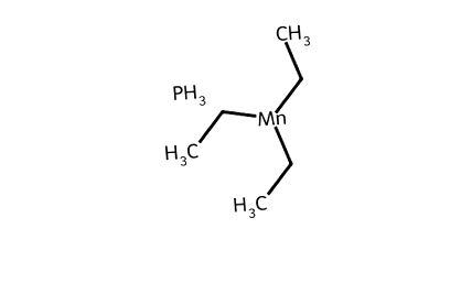 C[CH2][Mn]([CH2]C)[CH2]C.P